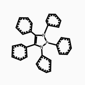 c1ccc(C2=C(c3ccccc3)N(c3ccccc3)P(c3ccccc3)N2c2ccccc2)cc1